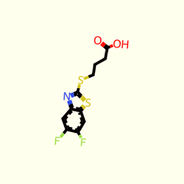 O=C(O)CCCSc1nc2cc(F)c(F)cc2s1